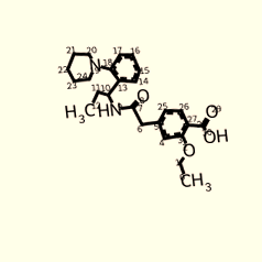 CCOc1cc(CC(=O)NC(CC)c2ccccc2N2CCCCC2)ccc1C(=O)O